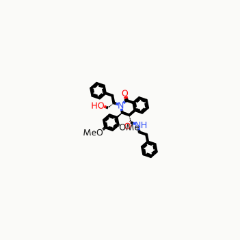 COc1ccc([C@@H]2[C@@H](C(=O)NCCc3ccccc3)c3ccccc3C(=O)N2[C@H](CO)Cc2ccccc2)c(OC)c1